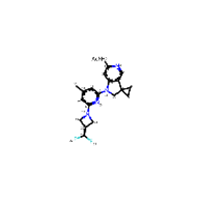 CC(=O)Nc1cc2c(cn1)C1(CC1)CN2c1cc(C)cc(N2CC(C(F)F)C2)n1